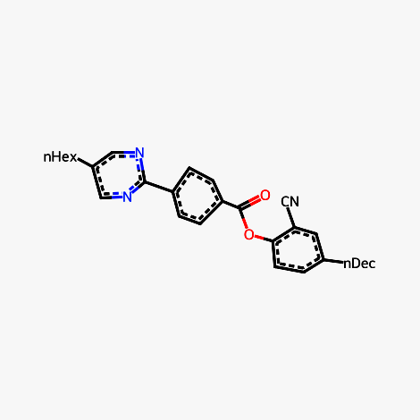 CCCCCCCCCCc1ccc(OC(=O)c2ccc(-c3ncc(CCCCCC)cn3)cc2)c(C#N)c1